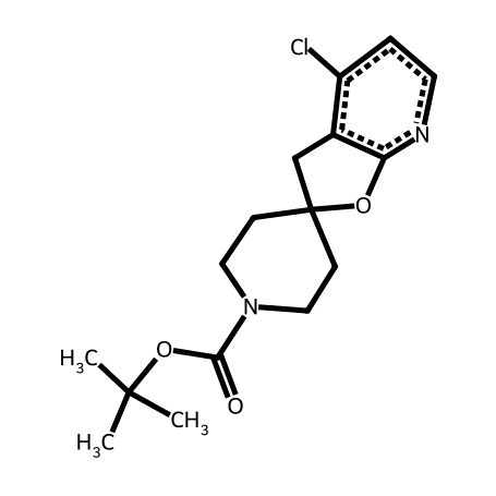 CC(C)(C)OC(=O)N1CCC2(CC1)Cc1c(Cl)ccnc1O2